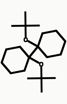 CC(C)(C)OC1(C2(OC(C)(C)C)CCCCC2)CCCCC1